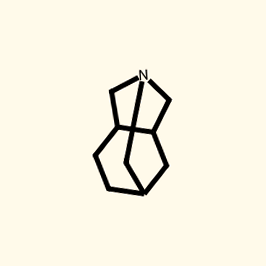 C1CC2CN3CC1CC2C3